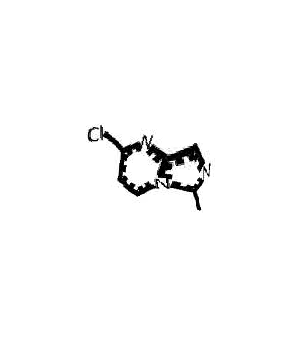 Cc1ncc2nc(Cl)ccn12